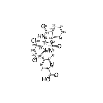 O=C(O)c1cccc(CNC(=O)[C@@H]2c3ccccc3C(=O)N[C@H]2c2ccc(Cl)cc2Cl)n1